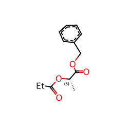 CCC(=O)O[C@@H](C)C(=O)OCc1ccccc1